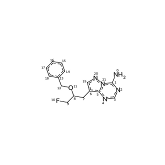 Nc1ncnc2c(CC(CF)OCc3ccccc3)cnn12